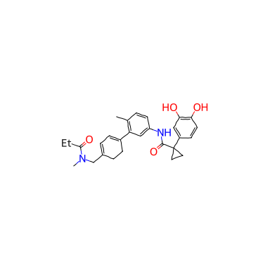 CCC(=O)N(C)CC1=CC=C(c2cc(NC(=O)C3(c4ccc(O)c(O)c4)CC3)ccc2C)CC1